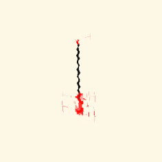 CC(O)(CO)OC(=O)C(O)C(O)CCCCCCCCCCCCCCCO